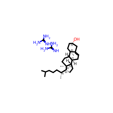 CC(C)CCC[C@@H](C)[C@H]1CC[C@H]2[C@@H]3CC=C4C[C@@H](O)CC[C@]4(C)[C@H]3CC[C@]12C.N=C(N)N.N=C(N)N